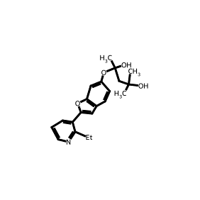 CCc1ncccc1-c1cc2ccc(OC(C)(O)CC(C)(C)O)cc2o1